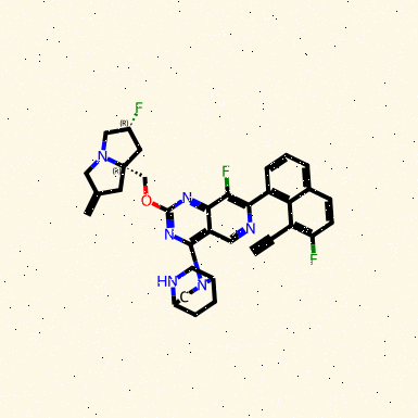 C#Cc1c(F)ccc2cccc(-c3ncc4c(N5CC6CCC5CN6)nc(OC[C@]56CC(=C)CN5C[C@H](F)C6)nc4c3F)c12